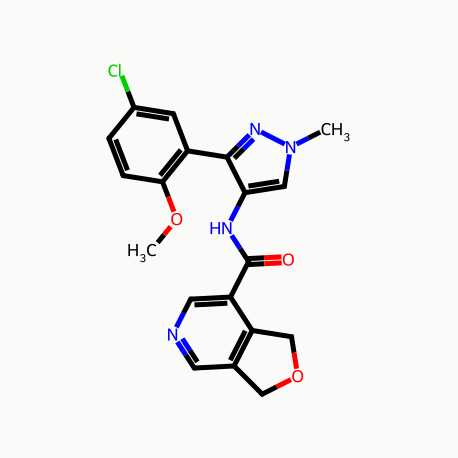 COc1ccc(Cl)cc1-c1nn(C)cc1NC(=O)c1cncc2c1COC2